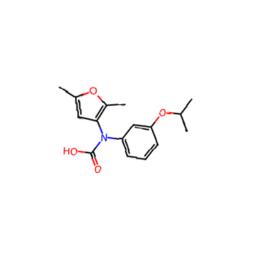 Cc1cc(N(C(=O)O)c2cccc(OC(C)C)c2)c(C)o1